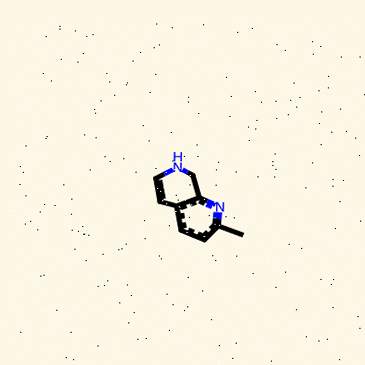 Cc1ccc2c(n1)CNC=C2